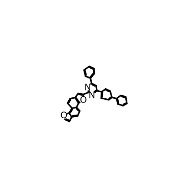 c1ccc(-c2ccc(-c3cc(-c4ccccc4)nc(-c4cc5ccc6c(ccc7ccoc76)c5o4)n3)cc2)cc1